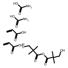 C=CC(=O)O.C=CC(=O)O.CC(C)(CO)C(=O)OC(=O)C(C)(C)CO.NC(=O)O.NC(=O)O